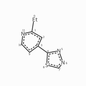 CCc1cc(-c2nn[c]s2)ccn1